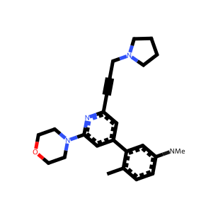 CNc1ccc(C)c(-c2cc(C#CCN3CCCC3)nc(N3CCOCC3)c2)c1